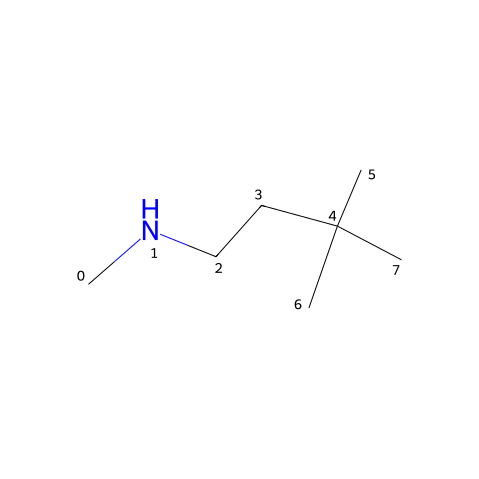 CNCCC(C)(C)C